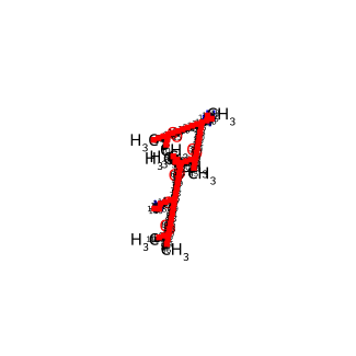 CCCCCC(CCCCC)CCOC(=O)CCCCCCCCCC(CCCCCCCCCC(=O)OCCC(CCCCC)CCCC(C)C(CCCC)C(CCCCC)CCOC(=O)CCCCCCCCCC(CCCCCCCCCC(=O)OCCC(CCCCC)CCCCC)COCCCN1CCCC1)CCN1CCN(C)CC1